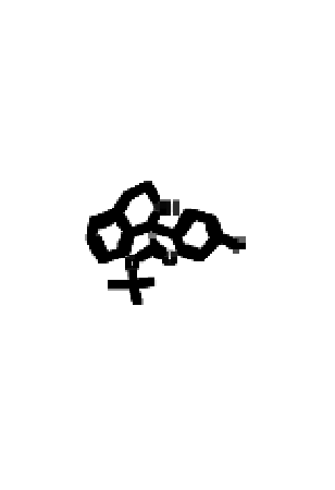 CC(C)(C)OC(=O)[C@@]1(c2ccc(F)cc2)NCCc2ccccc21